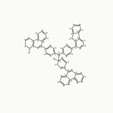 CC1CC=Cc2c1cc(-c1ccc(N(c3ccc(-c4cccc5c4sc4ccccc45)cc3)C3(C)C=CC(c4cc5ccccc5c5ccccc45)=CC3)cc1)c1ccccc21